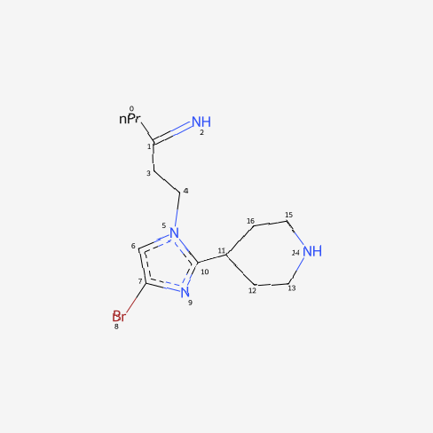 CCCC(=N)CCn1cc(Br)nc1C1CCNCC1